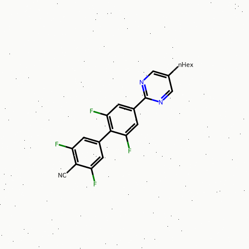 CCCCCCc1cnc(-c2cc(F)c(-c3cc(F)c(C#N)c(F)c3)c(F)c2)nc1